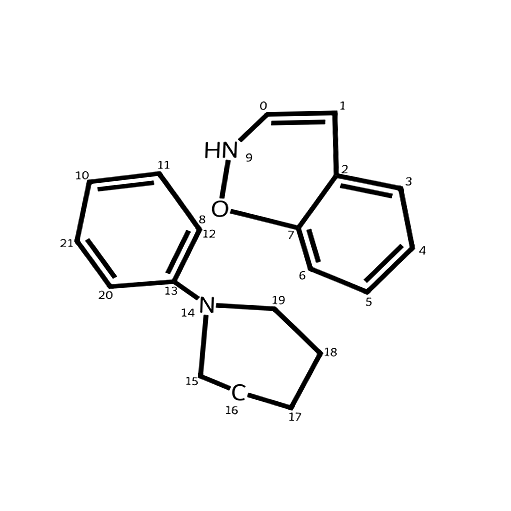 C1=Cc2ccccc2ON1.c1ccc(N2CCCCC2)cc1